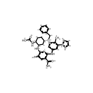 Cc1ncc(Nc2nc(N[C@@H]3C[C@@H](OCc4ccccc4)CC[C@@H]3NC(=O)O)c(F)cc2C(N)=O)cc1-n1nccn1